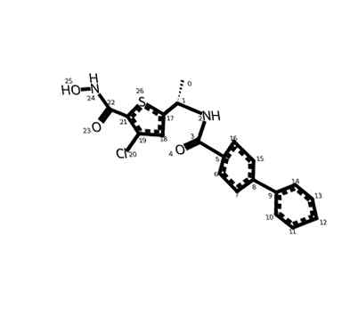 C[C@H](NC(=O)c1ccc(-c2ccccc2)cc1)c1cc(Cl)c(C(=O)NO)s1